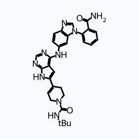 CC(C)(C)NC(=O)N1CC=C(c2cc3c(Nc4ccc5ncn(-c6ccccc6C(N)=O)c5c4)ncnc3[nH]2)CC1